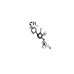 COCCc1ccc(C2CCC(OC)CC2)c(F)c1F